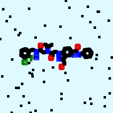 CC(C)N(CC(=O)NCc1cccc(Cl)c1F)C(=O)Cn1nc(C=O)c2cc(C(=O)Nc3ccccc3)ccc21